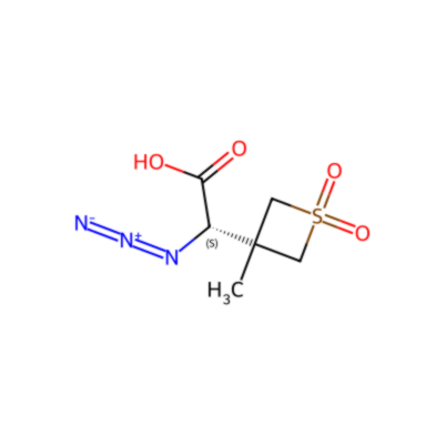 CC1([C@H](N=[N+]=[N-])C(=O)O)CS(=O)(=O)C1